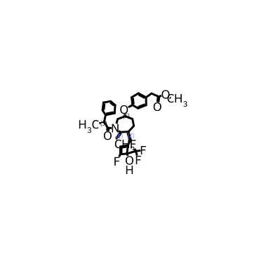 C/C=C1\C(=C/C2=C=C(F)C2(O)C(F)(F)F)CC[C@H](Oc2ccc(CC(=O)OC)cc2)CN1C(=O)[C@@H](C)c1ccccc1